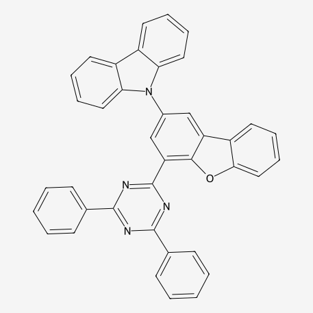 c1ccc(-c2nc(-c3ccccc3)nc(-c3cc(-n4c5ccccc5c5ccccc54)cc4c3oc3ccccc34)n2)cc1